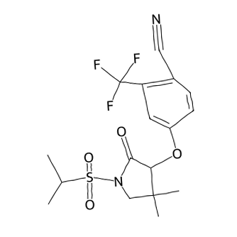 CC(C)S(=O)(=O)N1CC(C)(C)C(Oc2ccc(C#N)c(C(F)(F)F)c2)C1=O